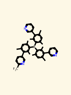 Cc1cc(C)c(-c2cccnc2)c(C)c1B(c1c(C)cc(C)c(-c2cccnc2)c1C)c1c(C)cc(C)c(-c2ccc(C(F)(F)F)nc2)c1C